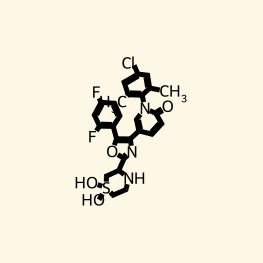 Cc1cc(Cl)cc(C)c1-n1cc(-c2nc(C3CS(O)(O)CCN3)oc2-c2ccc(F)cc2F)ccc1=O